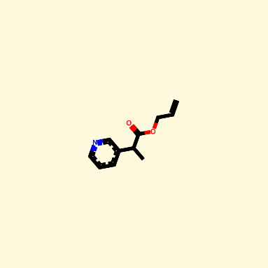 C=CCOC(=O)C(C)c1cccnc1